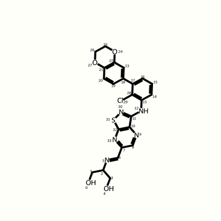 OCC(CO)N=Cc1cnc2c(Nc3cccc(-c4ccc5c(c4)OCCO5)c3Cl)nsc2n1